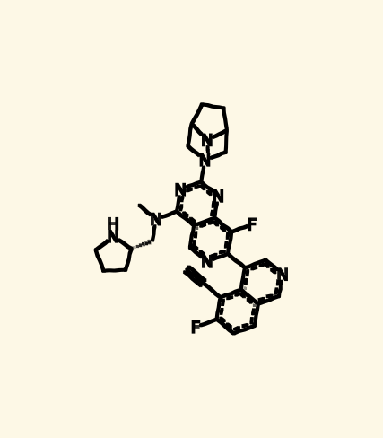 C#Cc1c(F)ccc2cncc(-c3ncc4c(N(C)C[C@@H]5CCCN5)nc(N5CC6CCC(C5)N6C)nc4c3F)c12